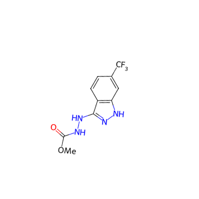 COC(=O)NNc1n[nH]c2cc(C(F)(F)F)ccc12